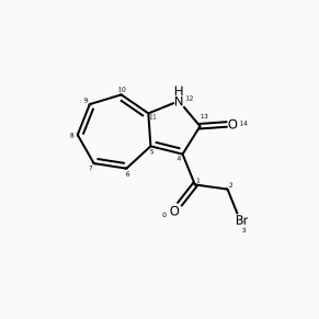 O=C(CBr)c1c2cccccc-2[nH]c1=O